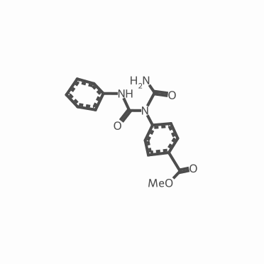 COC(=O)c1ccc(N(C(N)=O)C(=O)Nc2ccccc2)cc1